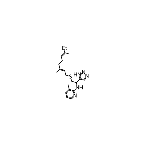 CC/C(C)=C/CC/C(C)=C/CSCC(Nc1ncccc1C)c1cnn[nH]1